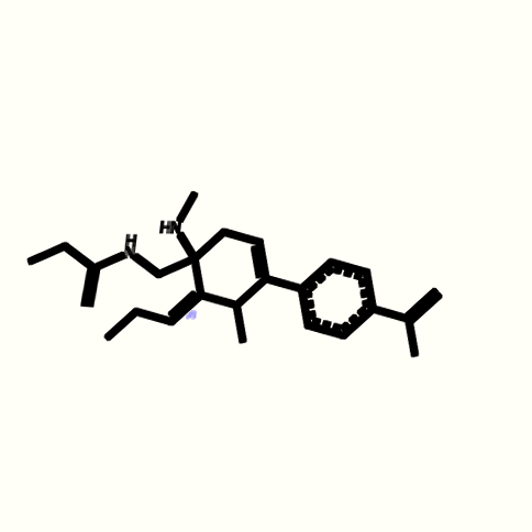 C=C(CC)NCC1(NC)CC=C(c2ccc(C(=C)C)cc2)C(C)/C1=C/CC